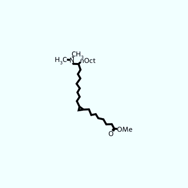 CCCCCCCCC(CCCCCCCCC1CC1CCCCCCCC(=O)OC)CN(C)C